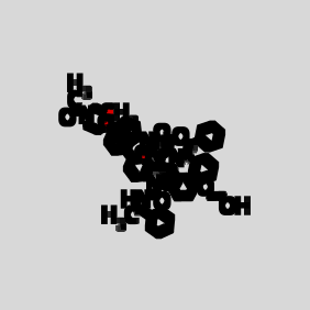 COc1ccc(-c2ccc3c(c2)[C@]2(C(=O)N3C(=O)N[C@@H](C)c3ccccc3)[C@H](c3cccc(OCCO)c3)N3[C@H](c4ccccc4)[C@H](c4ccccc4)OC(=O)[C@H]3[C@@H]2C(=O)Nc2ccc(N3CCN(C(C)=O)CC3)cc2)cc1